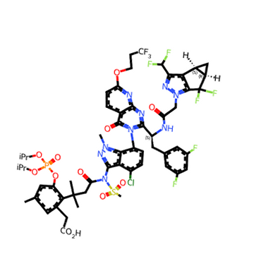 Cc1cc(CC(=O)O)c(C(C)(C)CC(=O)N(c2nn(C)c3c(-n4c([C@H](Cc5cc(F)cc(F)c5)NC(=O)Cn5nc(C(F)F)c6c5C(F)(F)[C@@H]5C[C@H]65)nc5nc(OCCC(F)(F)F)ccc5c4=O)ccc(Cl)c23)S(C)(=O)=O)c(OP(=O)(OC(C)C)OC(C)C)c1